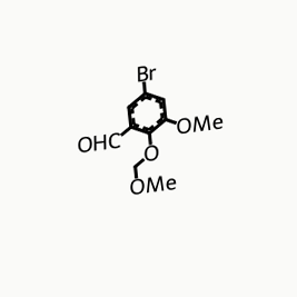 COCOc1c(C=O)cc(Br)cc1OC